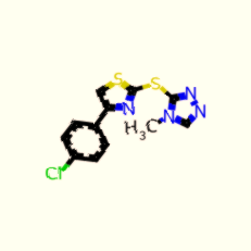 Cn1cnnc1Sc1nc(-c2ccc(Cl)cc2)cs1